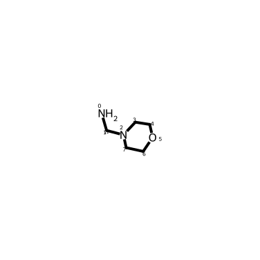 N[C]N1CCOCC1